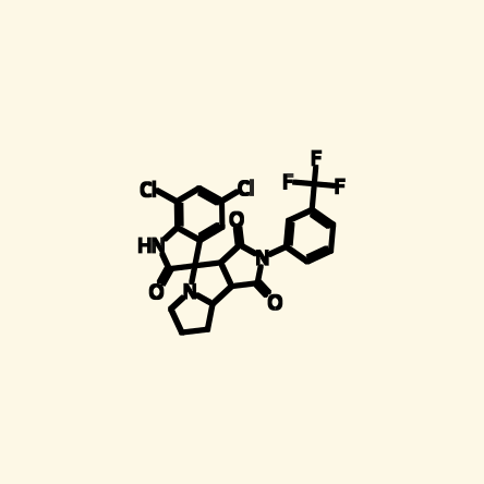 O=C1C2C3CCCN3C3(C(=O)Nc4c(Cl)cc(Cl)cc43)C2C(=O)N1c1cccc(C(F)(F)F)c1